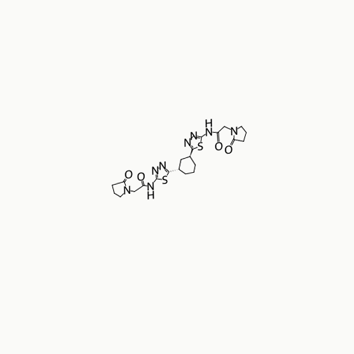 O=C(CN1CCCC1=O)Nc1nnc([C@H]2CCC[C@H](c3nnc(NC(=O)CN4CCCC4=O)s3)C2)s1